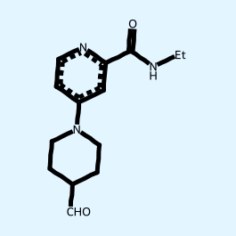 CCNC(=O)c1cc(N2CCC(C=O)CC2)ccn1